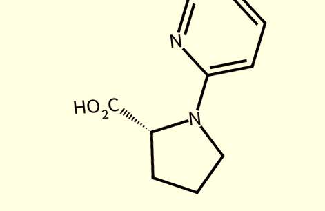 O=C(O)[C@H]1CCCN1c1ccccn1